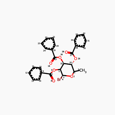 CC1O[C@@H](Br)C(OC(=O)c2ccccc2)[C@@H](OC(=O)c2ccccc2)[C@@H]1OC(=O)c1ccccc1